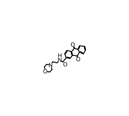 O=C(NCCN1CCOCC1)c1ccc2c(c1)C(=O)c1ccccc1C2=O